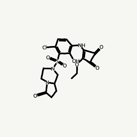 CCOc1c(Nc2ccc(Cl)c(S(=O)(=O)N3CCN4C(=O)CCC4C3)c2O)c(=O)c1=O